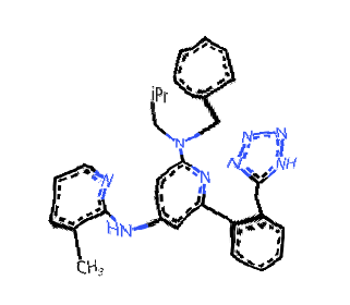 Cc1cccnc1Nc1cc(-c2ccccc2-c2nnn[nH]2)nc(N(Cc2ccccc2)CC(C)C)c1